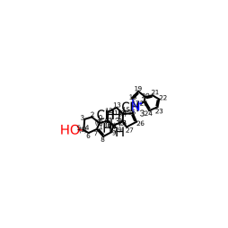 C[C@]12CC[C@H](O)CC1=CC[C@@H]1[C@@H]2CC[C@]2(C)C(n3ccc4ccccc43)=CC[C@@H]12